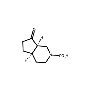 O=C1CC[C@@H]2CCN(C(=O)O)C[C@H]12